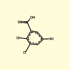 O=C(O)c1cc(S)cc(Cl)c1Cl